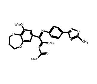 COC(=O)N=C(SC)C(=Nc1ccc(-c2noc(C)n2)cc1)c1cc(OC)c2c(c1)OCCCO2